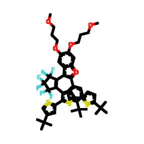 COCCCOc1cc2oc(-c3ccc(C(C)(C)C)cc3)c(C3=C(c4cc(-c5ccc(C(C)(C)C)s5)sc4-c4cc(C(C)(C)C)cs4)C(F)(F)C(F)(F)C3(F)F)c2cc1OCCCOC